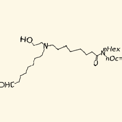 CCCCCCCCN(CCCCCC)C(=O)CCCCCCCN(CCO)CCCCCCCC=O